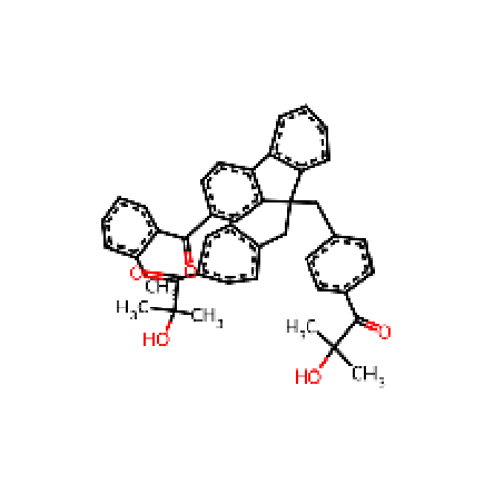 Cc1ccccc1C(=O)c1ccc2c(c1)C(Cc1ccc(C(=O)C(C)(C)O)cc1)(Cc1ccc(C(=O)C(C)(C)O)cc1)c1ccccc1-2